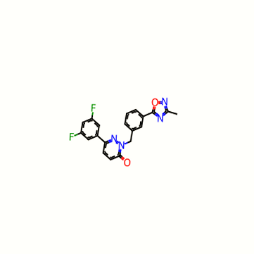 Cc1noc(-c2cccc(Cn3nc(-c4cc(F)cc(F)c4)ccc3=O)c2)n1